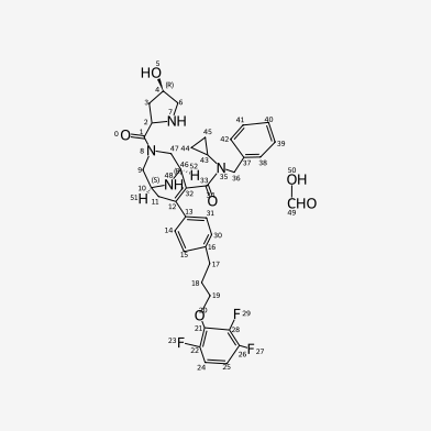 O=C(C1C[C@@H](O)CN1)N1C[C@@H]2CC(c3ccc(CCCOc4c(F)ccc(F)c4F)cc3)=C(C(=O)N(Cc3ccccc3)C3CC3)[C@H](C1)N2.O=CO